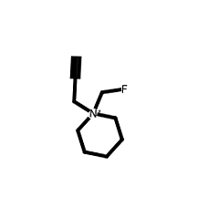 C#CC[N+]1(CF)CCCCC1